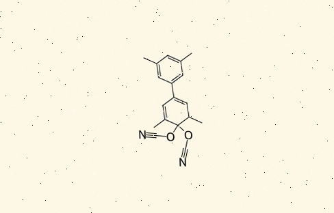 CC1=CC(c2cc(C)cc(C)c2)=CC(C)C1(OC#N)OC#N